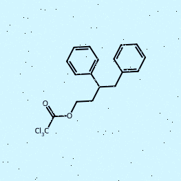 O=C(OCCC(Cc1ccccc1)c1ccccc1)C(Cl)(Cl)Cl